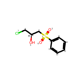 O=S(=O)(C[C@@H](O)CCl)c1ccccc1